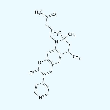 CC(=O)CCCN1c2cc3oc(=O)c(-c4ccncc4)cc3cc2C(C)CC1(C)C